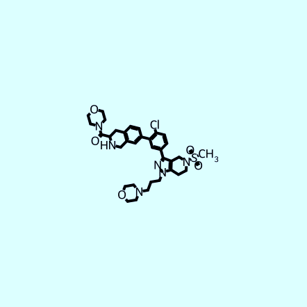 CS(=O)(=O)N1CCc2c(c(-c3ccc(Cl)c(-c4ccc5c(c4)CNC(C(=O)N4CCOCC4)C5)c3)nn2CCCN2CCOCC2)C1